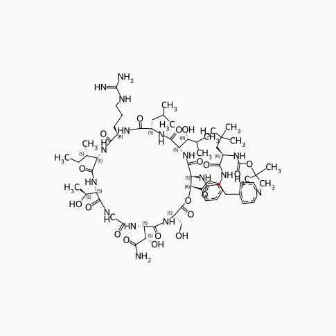 CC[C@H](C)[C@@H]1NC(=O)[C@@H](CCCNC(=N)N)NC(=O)[C@H](CC(C)C)NC(=O)[C@H]([C@H](O)C(C)C)NC(=O)[C@@H](NC(=O)C(Cc2ccncc2)NC(=O)[C@@H](CC(C)(C)C)NC(=O)OC(C)(C)C)[C@@H](c2ccccc2)OC(=O)[C@H](CO)NC(=O)[C@H]([C@H](O)C(N)=O)NC(=O)CNC(=O)[C@H]([C@H](C)O)NC1=O